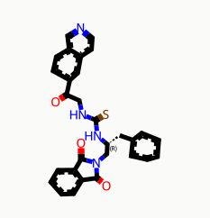 O=C(CNC(=S)N[C@H](Cc1ccccc1)CN1C(=O)c2ccccc2C1=O)c1ccc2cnccc2c1